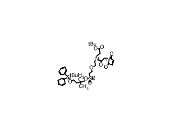 CC(C)(CCO[Si](c1ccccc1)(c1ccccc1)C(C)(C)C)COS(=O)(=O)CCOCCN(CCC(=O)OC(C)(C)C)C(=O)CN1C(=O)C=CC1=O